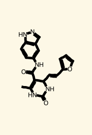 CC1=C(C(=O)Nc2ccc3[nH]ncc3c2)C(C=Cc2ccco2)NC(=O)N1